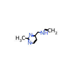 C=CNCc1ccnc(C)n1